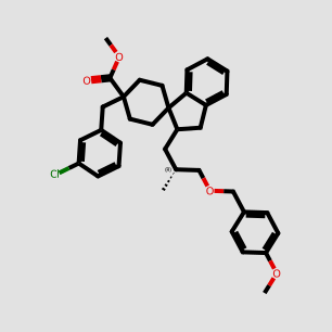 COC(=O)C1(Cc2cccc(Cl)c2)CCC2(CC1)c1ccccc1CC2C[C@@H](C)COCc1ccc(OC)cc1